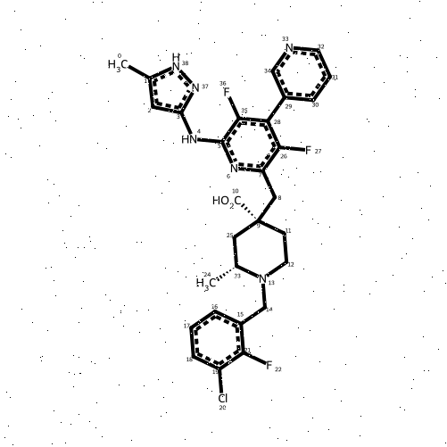 Cc1cc(Nc2nc(C[C@@]3(C(=O)O)CCN(Cc4cccc(Cl)c4F)[C@H](C)C3)c(F)c(-c3cccnc3)c2F)n[nH]1